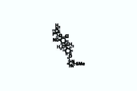 CSc1nccc(COc2ccc(C(C)(C)c3cc(Cl)c(OCC(F)(F)CN)c(C#N)c3)cc2)n1